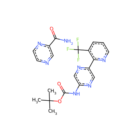 CC(C)(C)OC(=O)Nc1cnc(-c2ncccc2C(F)(F)F)cn1.NC(=O)c1cnccn1